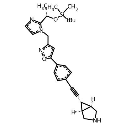 C[C@H](O[Si](C)(C)C(C)(C)C)c1nccn1Cc1cc(-c2ccc(C#C[C@@H]3[C@H]4CNC[C@@H]34)cc2)on1